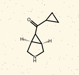 O=C(C1CC1)C1[C@H]2CNC[C@@H]12